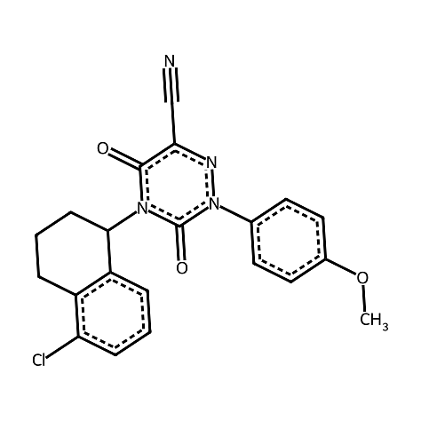 COc1ccc(-n2nc(C#N)c(=O)n(C3CCCc4c(Cl)cccc43)c2=O)cc1